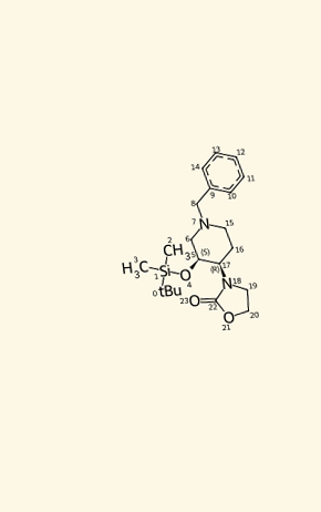 CC(C)(C)[Si](C)(C)O[C@H]1CN(Cc2ccccc2)CC[C@H]1N1CCOC1=O